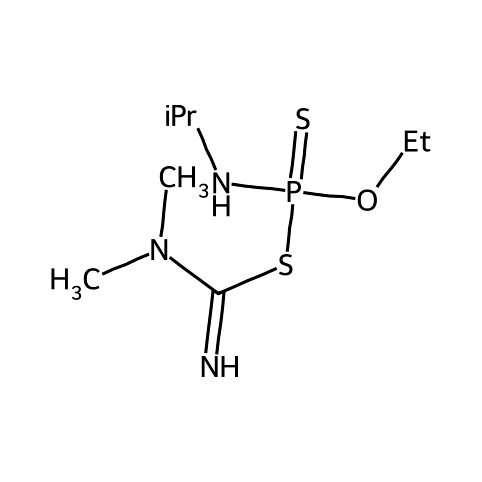 CCOP(=S)(NC(C)C)SC(=N)N(C)C